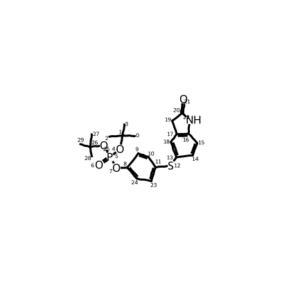 CC(C)(C)OP(=O)(Oc1ccc(Sc2ccc3c(c2)CC(=O)N3)cc1)OC(C)(C)C